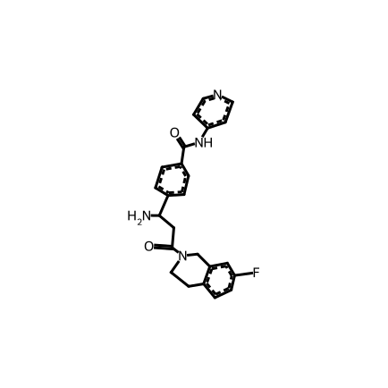 NC(CC(=O)N1CCc2ccc(F)cc2C1)c1ccc(C(=O)Nc2ccncc2)cc1